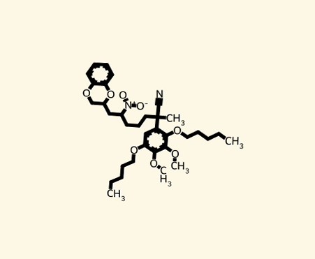 CCCCCOc1cc(C(C)(C#N)CCCC(CC2COc3ccccc3O2)[N+](=O)[O-])c(OCCCCC)c(OC)c1OC